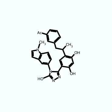 CC(=O)c1cccc(CC(C)c2cc(-c3nnc(O)n3-c3ccc4c(ccn4C)c3)c(O)cc2O)c1